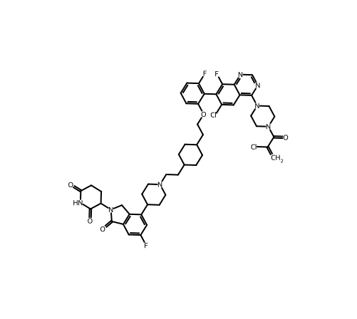 C=C(Cl)C(=O)N1CCN(c2ncnc3c(F)c(-c4c(F)cccc4OCCC4CCC(CCN5CCC(c6cc(F)cc7c6CN(C6CCC(=O)NC6=O)C7=O)CC5)CC4)c(Cl)cc23)CC1